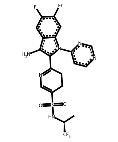 CCc1cc2c(cc1F)c(N)c(C1=NC=C(S(=O)(=O)N[C@@H](C)C(F)(F)F)CC1)n2-c1ccncn1